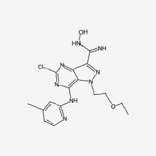 CCOCCn1nc(C(=N)NO)c2nc(Cl)nc(Nc3cc(C)ccn3)c21